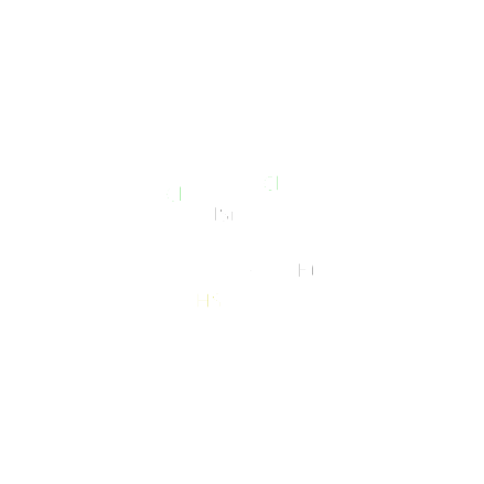 CCC(S)[SiH](Cl)Cl